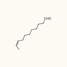 C/C=C\CCCCCCCC=O